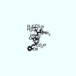 CC(C)(ON=C(C(=O)NC1C(=O)N2CC(C=Cc3ccccc3C#N)(C(=O)O)CS[C@H]12)c1csc(N)n1)C(=O)O